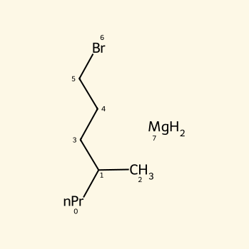 CCCC(C)CCCBr.[MgH2]